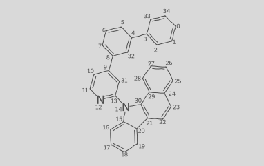 c1ccc(-c2cccc(-c3ccnc(-n4c5ccccc5c5ccc6ccccc6c54)c3)c2)cc1